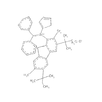 Cc1cc2c(cc1C(C)(C)C)-c1cc(C(C)(C)C)c(C)[c]([Zr+2]([C]3=CC=CC3)=[C](c3ccccc3)c3ccccc3)c1C2.[Cl-].[Cl-]